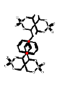 CC1OS(=O)(=O)OC(C)C12C(C)OS(=O)(=O)OC2Cc1cccc(C2OS(=O)(=O)OCC23COS(=O)(=O)OC3c2ccccc2)c1